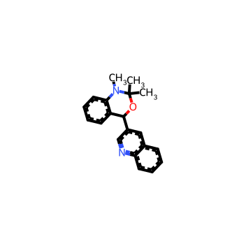 CN1c2ccccc2C(c2cnc3ccccc3c2)OC1(C)C